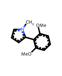 COc1cccc(OC)c1-c1cccn1C